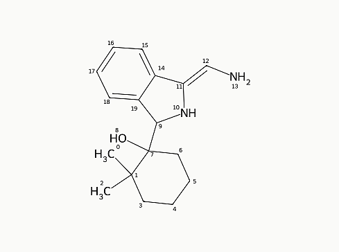 CC1(C)CCCCC1(O)C1N/C(=C\N)c2ccccc21